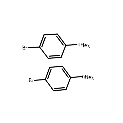 CCCCCCc1ccc(Br)cc1.CCCCCCc1ccc(Br)cc1